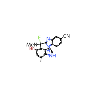 CNC(F)(c1nc2cc(C#N)ccc2[nH]1)c1c(Br)cc(C)c2[nH]ccc12